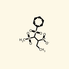 CC[C](C(S(C)(=O)=O)S(=O)(=O)c1ccccc1)[N+](=O)[O-]